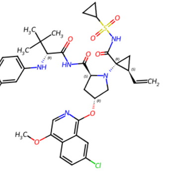 C=C[C@@H]1C[C@@]1(C(=O)NS(=O)(=O)C1CC1)N1C[C@H](Oc2ncc(OC)c3ccc(Cl)cc23)C[C@H]1C(=O)NC(=O)[C@H](Nc1cccc(F)c1)C(C)(C)C